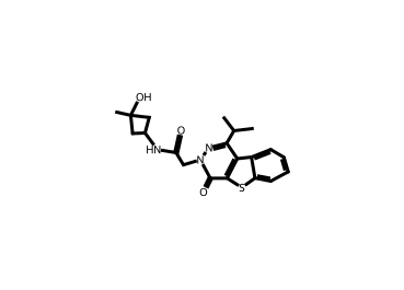 CC(C)c1nn(CC(=O)NC2CC(C)(O)C2)c(=O)c2sc3ccccc3c12